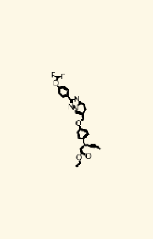 CC#CC(CC(=O)OCC)c1ccc(OCc2ccc3nc(-c4ccc(OC(F)F)cc4)nn3c2)cc1